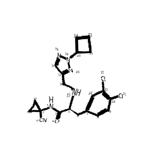 N#CC1(NC(=O)[C@H](Cc2ccc(Cl)c(Cl)c2)NCc2cnn(C3CCC3)n2)CC1